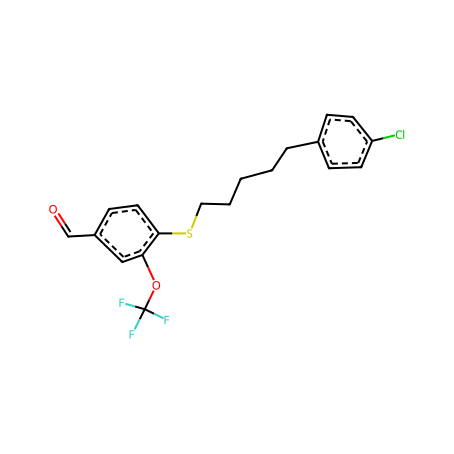 O=Cc1ccc(SCCCCCc2ccc(Cl)cc2)c(OC(F)(F)F)c1